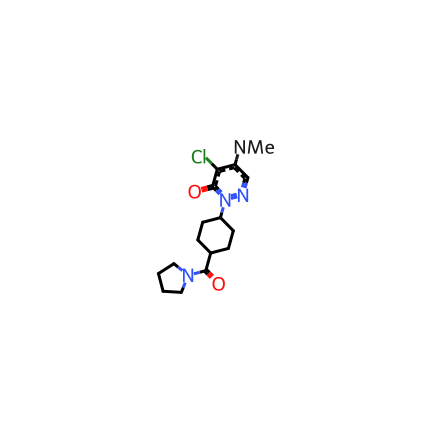 CNc1cnn(C2CCC(C(=O)N3CCCC3)CC2)c(=O)c1Cl